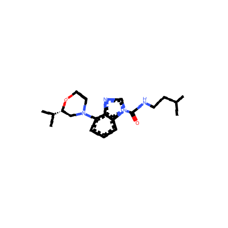 CC(C)CCNC(=O)n1cnc2c(N3CCO[C@@H](C(C)C)C3)cccc21